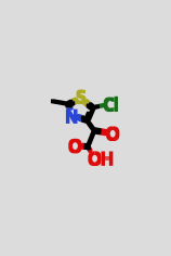 Cc1nc(C(=O)C(=O)O)c(Cl)s1